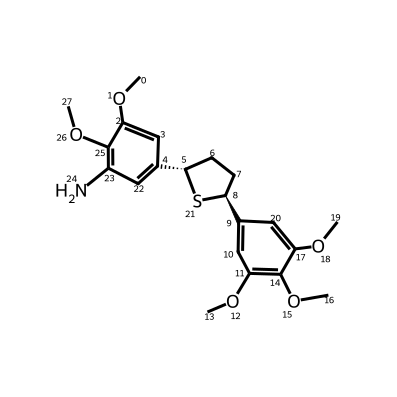 COc1cc([C@@H]2CC[C@@H](c3cc(OC)c(OC)c(OC)c3)S2)cc(N)c1OC